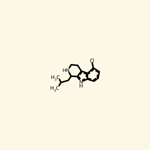 CC(C)CC1NCCc2c1[nH]c1cccc(Cl)c21